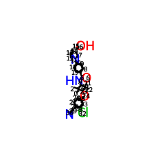 CC1(C)[C@H](NC(=O)c2ccc(N3CC[C@H](CO)C3)cc2)C(C)(C)[C@H]1Oc1ccc(C#N)c(Cl)c1